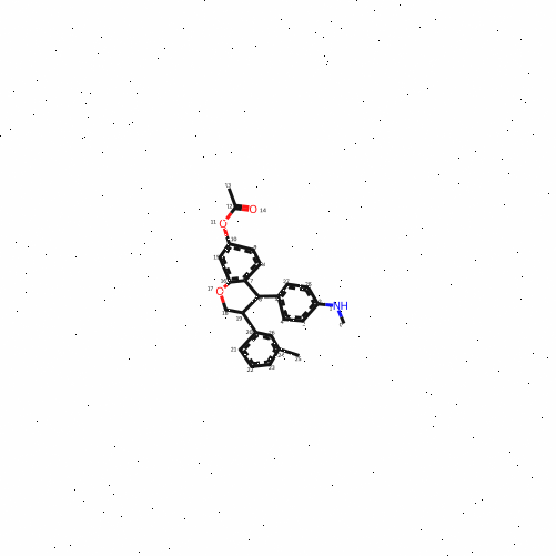 CNc1ccc(C2c3ccc(OC(C)=O)cc3OCC2c2cccc(C)c2)cc1